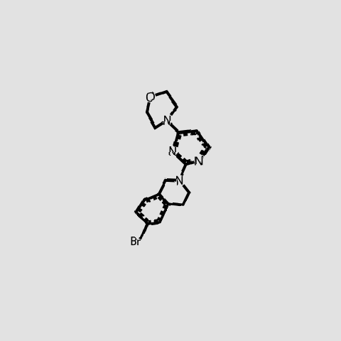 Brc1ccc2c(c1)CCN(c1nccc(N3CCOCC3)n1)C2